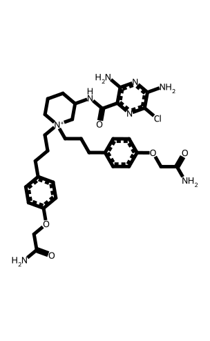 NC(=O)COc1ccc(CCC[N+]2(CCCc3ccc(OCC(N)=O)cc3)CCCC(NC(=O)c3nc(Cl)c(N)nc3N)C2)cc1